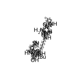 Cc1ccc2[nH]nc(C(=O)N3CC[C@H]4CC[C@@H](C(=O)NCCCCCCCCC(=O)N[C@H](C(=O)N5C[C@H](O)C[C@H]5C(=O)N[C@@H](C)c5ccc(-c6scnc6C)cc5)C(C)(C)C)N4C(=O)[C@@H](N)C3)c2c1